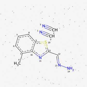 C#N.C#N.Cc1cccc2sc(C=NN)nc12